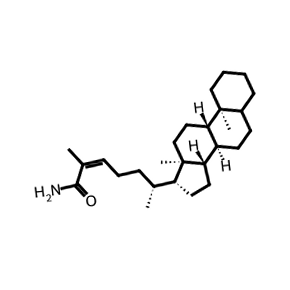 CC(=CCC[C@@H](C)[C@H]1CC[C@H]2[C@@H]3CCC4CCCC[C@]4(C)[C@H]3CC[C@]12C)C(N)=O